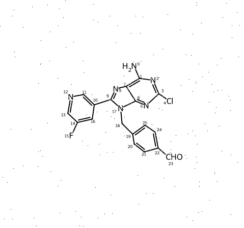 Nc1nc(Cl)nc2c1nc(-c1cncc(F)c1)n2Cc1ccc(C=O)cc1